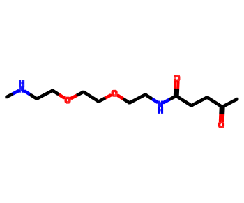 CNCCOCCOCCNC(=O)CCC(C)=O